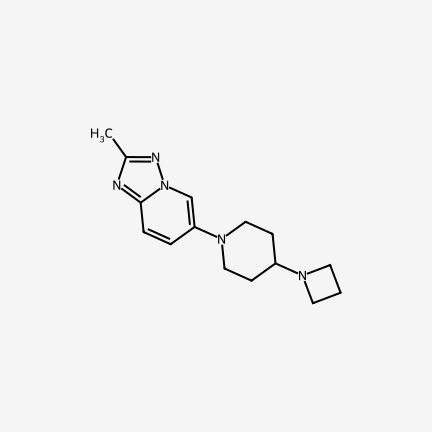 Cc1nc2ccc(N3CCC(N4CCC4)CC3)cn2n1